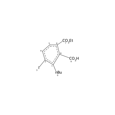 CCCCc1c(I)ccc(C(=O)OCC)c1C(=O)O